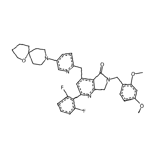 COc1ccc(CN2Cc3nc(-c4c(F)cccc4F)cc(Cc4ccc(N5CCC6(CCCCO6)CC5)cn4)c3C2=O)c(OC)c1